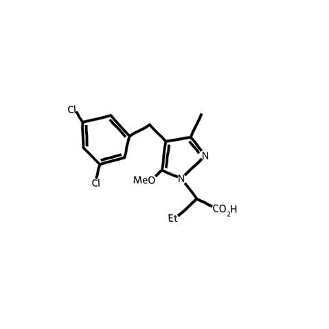 CCC(C(=O)O)n1nc(C)c(Cc2cc(Cl)cc(Cl)c2)c1OC